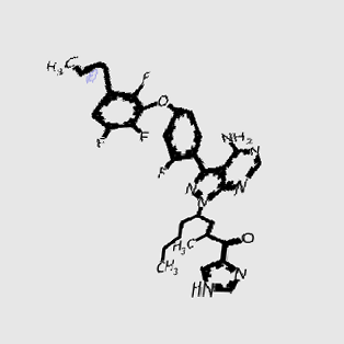 C/C=C/c1cc(F)c(F)c(Oc2ccc(-c3nn(C(CCCC)CC(C)C(=O)c4c[nH]cn4)c4ncnc(N)c34)c(F)c2)c1F